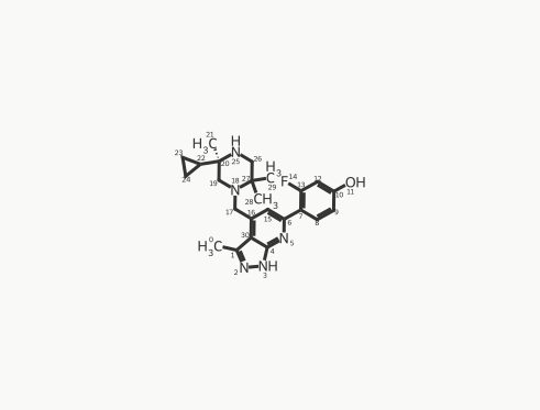 Cc1n[nH]c2nc(-c3ccc(O)cc3F)cc(CN3C[C@@](C)(C4CC4)NCC3(C)C)c12